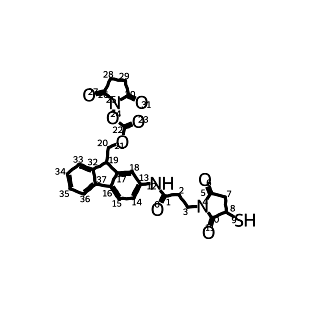 O=C(CCN1C(=O)CC(S)C1=O)Nc1ccc2c(c1)C(COC(=O)ON1C(=O)CCC1=O)c1ccccc1-2